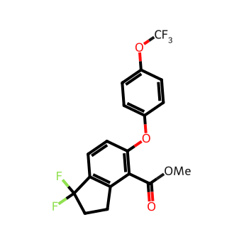 COC(=O)c1c(Oc2ccc(OC(F)(F)F)cc2)ccc2c1CCC2(F)F